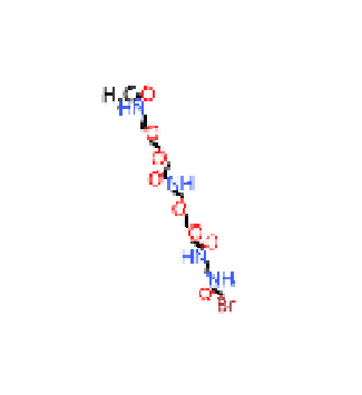 CC(=O)NCCOCCOCC(=O)NCCOCCOCC(=O)NCCNC(=O)CBr